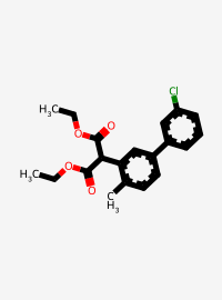 CCOC(=O)C(C(=O)OCC)c1cc(-c2cccc(Cl)c2)ccc1C